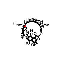 CO[C@H]1/C=C/O[C@@]2(C)Oc3c(C)c(O)c4c(O)c(c(/C=N/N5CCN(CCO)CC5)c(O)c4c3C2=O)NC(=O)/C(C)=C\C=C\[C@H](C)[C@H](O)[C@@H](C)[C@@H](O)[C@@H](C)[C@H](O)[C@@H]1C